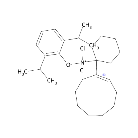 CC(C)c1cccc(C(C)C)c1O[N+](Cl)(Cl)C1(/C2=C/CCCCCCC2)CCCCC1